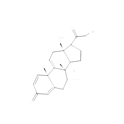 C[C@]12C=CC(=O)C=C1C[C@@H](Br)[C@@H]1C2=CC[C@@]2(C)[C@H]1CC[C@]2(O)C(=O)CO